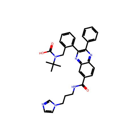 CC(C)(C)N(Cc1ccccc1-c1nc2cc(C(=O)NCCCn3ccnc3)ccc2nc1-c1ccccc1)C(=O)O